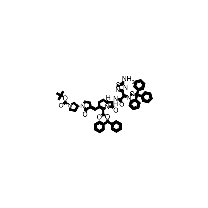 CC(C)(C)OC(=O)N1CC[C@@H](N2CC/C(=C\C3=C(C(=O)OC(c4ccccc4)c4ccccc4)N4C(=O)[C@@H](NC(=O)/C(=N/OC(c5ccccc5)(c5ccccc5)c5ccccc5)c5nsc(N)n5)[C@H]4CC3)C2=O)C1